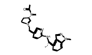 CC(=O)N(C)[C@H]1CCN(Cc2ccc(N[C@@H](C)c3cccc4c3cnn4C)nc2)C1